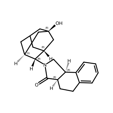 O=C1[C@@H]2CCc3ccccc3[C@@H]2CN1[C@H]1[C@@H]2CC3C[C@H]1C[C@](O)(C3)C2